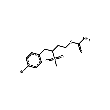 CS(=O)(=O)C(CCSC(N)=S)Cc1ccc(Br)cc1